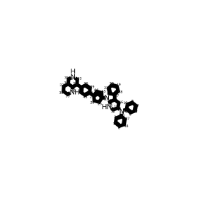 c1ccc(N(c2ccccc2)C2CNC3C(C2)c2ccccc2N3C23CCC(c4ccc(C5CNCC6CCCNC65)cc4)(CC2)C3)cc1